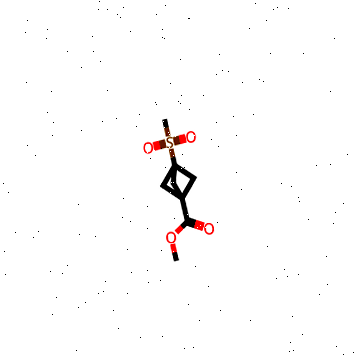 COC(=O)C12CC(S(C)(=O)=O)(C1)C2